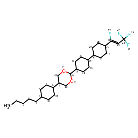 CCCCCC1CCC(C2COC(C3CCC(C4CCC(/C(F)=C/C(F)(F)F)CC4)CC3)OC2)CC1